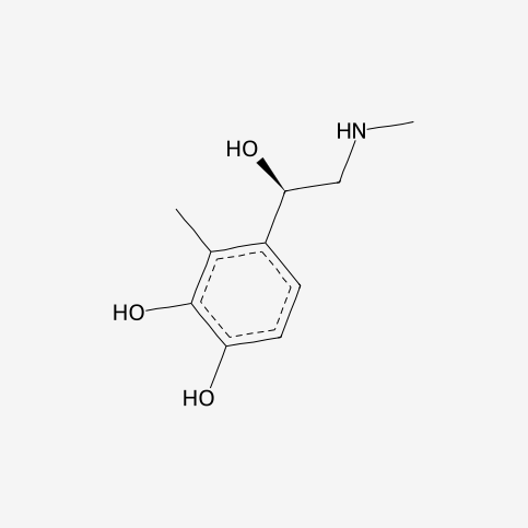 CNC[C@H](O)c1ccc(O)c(O)c1C